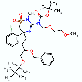 COCCOCN(C(=O)OC(C)(C)C)C1=NC(CCC(CO[Si](C)(C)C(C)(C)C)OCc2ccccc2)(c2ccccc2F)CS(=O)(=O)N1C